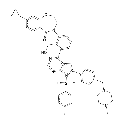 Cc1ccc(S(=O)(=O)n2c(-c3ccc(CN4CCN(C)CC4)cc3)cc3c(-c4cccc(N5CCOc6cc(C7CC7)ccc6C5=O)c4CO)ncnc32)cc1